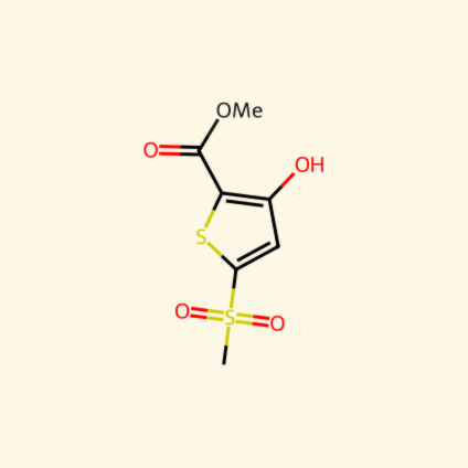 COC(=O)c1sc(S(C)(=O)=O)cc1O